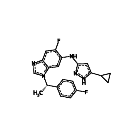 C[C@@H](c1ccc(F)cc1)n1cnc2cc(F)c(Nc3cc(C4CC4)[nH]n3)cc21